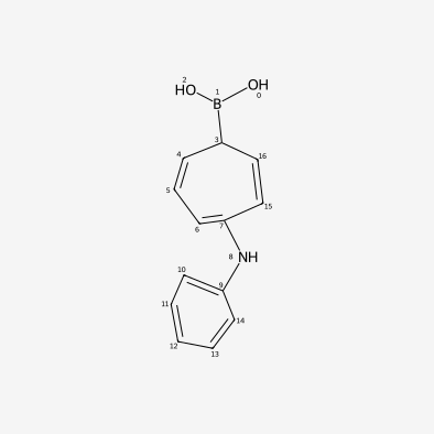 OB(O)C1C=CC=C(Nc2ccccc2)C=C1